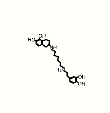 Oc1ccc(CCNCCCCCCCCNC2CCc3c(ccc(O)c3O)C2)cc1O